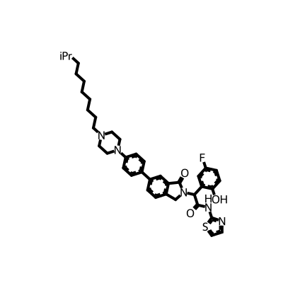 CC(C)CCCCCCCCN1CCN(c2ccc(-c3ccc4c(c3)C(=O)N(C(C(=O)Nc3nccs3)c3cc(F)ccc3O)C4)cc2)CC1